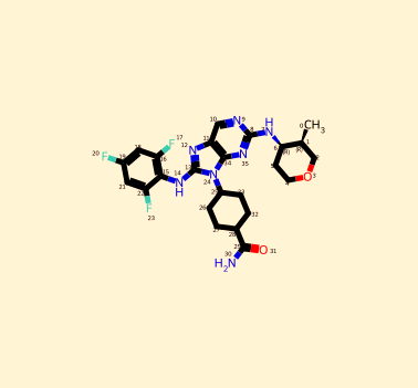 C[C@H]1COCC[C@H]1Nc1ncc2nc(Nc3c(F)cc(F)cc3F)n(C3CCC(C(N)=O)CC3)c2n1